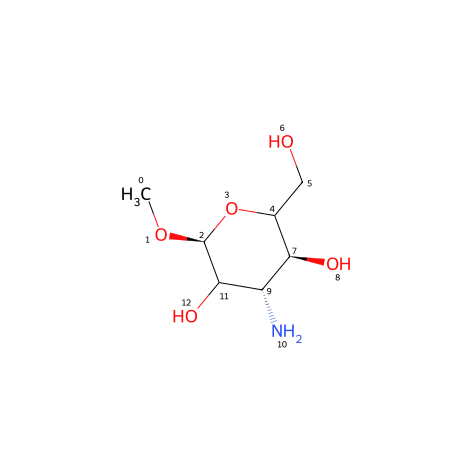 CO[C@H]1OC(CO)[C@@H](O)[C@H](N)C1O